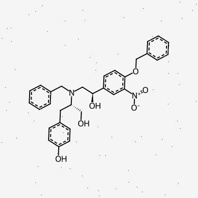 O=[N+]([O-])c1cc([C@@H](O)CN(Cc2ccccc2)[C@H](CO)Cc2ccc(O)cc2)ccc1OCc1ccccc1